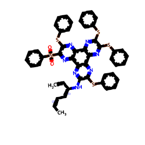 C=C/C(=C\C=C/C)Nc1nc2c(nc1Sc1ccccc1)c1nc(Sc3ccccc3)c(Sc3ccccc3)nc1c1nc(Sc3ccccc3)c(S(=O)(=O)c3ccccc3)nc21